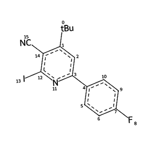 CC(C)(C)c1cc(-c2ccc(F)cc2)nc(I)c1C#N